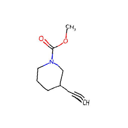 C#CC1CCCN(C(=O)OC)C1